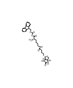 N[C@@H](CCCCNC(=O)CCCC[C@@H]1SC[C@@H]2NC(=O)N[C@@H]21)C(=O)OC(=O)OCC1c2ccccc2-c2ccccc21